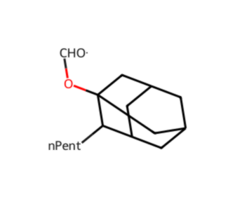 CCCCCC1C2CC3CC(C2)CC1(O[C]=O)C3